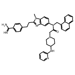 Cn1c(CCc2ccc(C(=N)N)cc2)nc2cc(N(Cc3cccc4ccccc34)C(=O)CN3CCC(Nc4ccccn4)CC3)ccc21